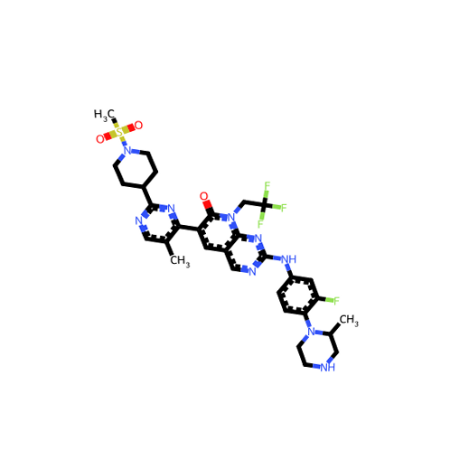 Cc1cnc(C2CCN(S(C)(=O)=O)CC2)nc1-c1cc2cnc(Nc3ccc(N4CCNCC4C)c(F)c3)nc2n(CC(F)(F)F)c1=O